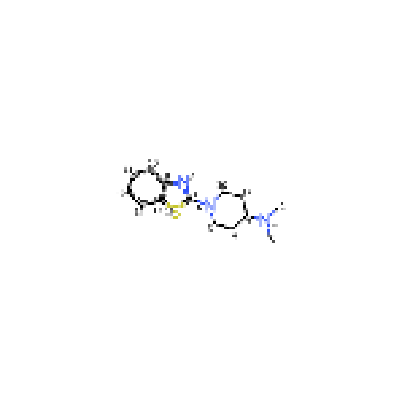 CN(C)C1CCN(c2nc3ccccc3s2)CC1